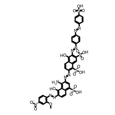 COc1cc([N+](=O)[O-])ccc1N=Nc1ccc2c(S(=O)(=O)O)cc(N=Nc3ccc4c(O)c(N=Nc5ccc(N=Nc6ccc(S(=O)(=O)O)cc6)cc5)c(S(=O)(=O)O)cc4c3S(=O)(=O)O)c(N)c2c1O